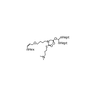 CCCCCC/C=C\COCCCCN(CC(=O)OC(CCCCCCC)CCCCCCC)C(=O)SCCCN(C)C